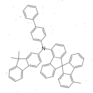 Cc1cccc2c1-c1ccccc1C21c2ccccc2-c2c(N(c3ccc(-c4ccccc4)cc3)c3ccc4c(c3)C(C)(C)c3ccccc3-4)cccc21